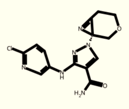 NC(=O)c1cn([C@@]23COCCC2=N3)nc1Nc1ccc(Cl)nc1